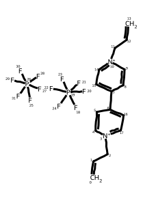 C=CC[n+]1ccc(-c2cc[n+](CC=C)cc2)cc1.F[P-](F)(F)(F)(F)F.F[P-](F)(F)(F)(F)F